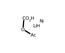 CC(=O)OC(=O)O.[LiH].[Ni]